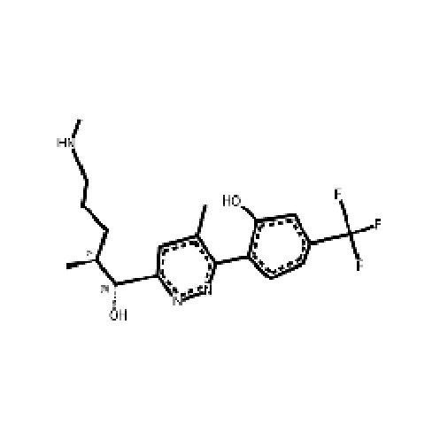 CNCCC[C@H](C)[C@@H](O)c1cc(C)c(-c2ccc(C(F)(F)F)cc2O)nn1